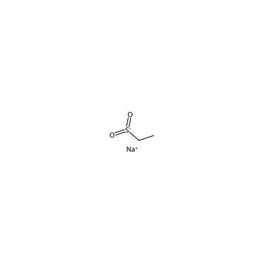 CC[S-](=O)=O.[Na+]